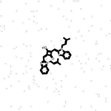 CC(C)=CCN1/C(=C/C2=C(O)C(=C/c3sc4ccccc4[n+]3CC=C(C)C)/C2=O)Sc2ccccc21